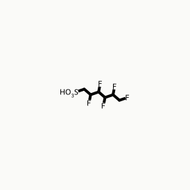 O=S(=O)(O)CC(F)C(F)C(F)C(F)CF